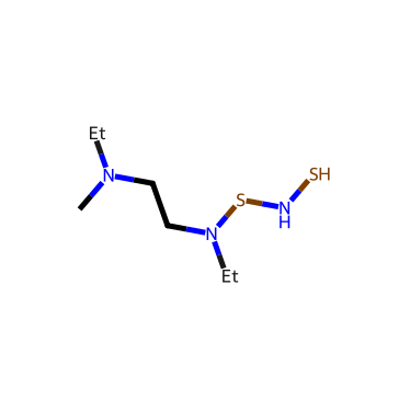 CCN(C)CCN(CC)SNS